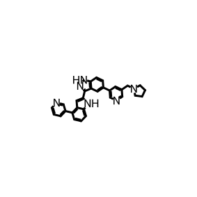 c1cncc(-c2cccc3[nH]c(-c4n[nH]c5ccc(-c6cncc(CN7CCCC7)c6)cc45)cc23)c1